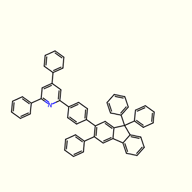 c1ccc(-c2cc(-c3ccccc3)nc(-c3ccc(-c4cc5c(cc4-c4ccccc4)-c4ccccc4C5(c4ccccc4)c4ccccc4)cc3)c2)cc1